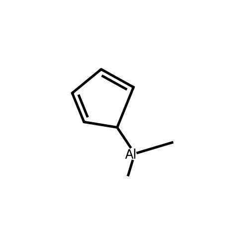 [CH3][Al]([CH3])[CH]1C=CC=C1